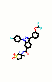 CC1(NC(=O)c2ccc3c(-c4cccc(OC(F)F)c4)nn(-c4ccc(F)cc4)c3c2)CCS(=O)(=O)C1